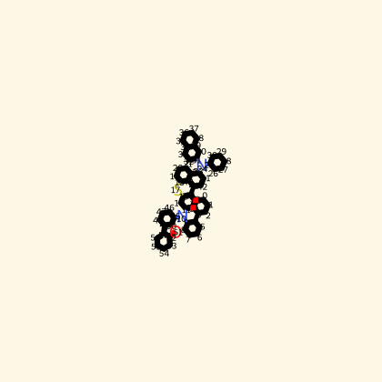 c1ccc(-c2ccccc2N(c2ccc3c(c2)Sc2cccc4c(N(c5ccccc5)c5ccc6ccccc6c5)ccc-3c24)c2cccc3c2oc2ccccc23)cc1